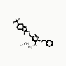 COc1cc(CSc2nc3cc(C(F)(F)F)ccc3[nH]2)ncc1OCc1ccccc1.Cl.Cl